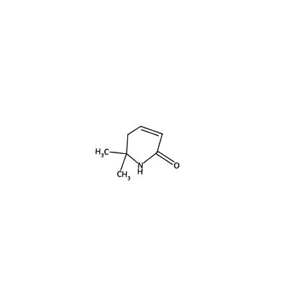 CC1(C)CC=CC(=O)N1